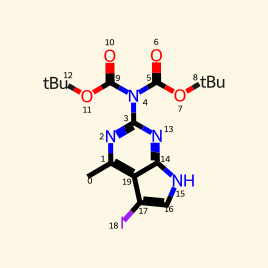 Cc1nc(N(C(=O)OC(C)(C)C)C(=O)OC(C)(C)C)nc2[nH]cc(I)c12